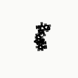 COc1ccc(-c2sc(NC(C)C3CCOCC3)nc2C)cc1S(=O)(=O)Nc1c(F)cccc1Cl